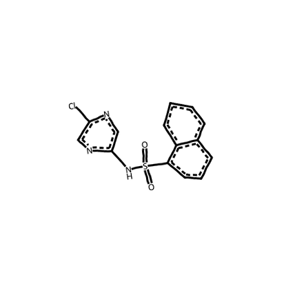 O=S(=O)(Nc1cnc(Cl)cn1)c1cccc2ccccc12